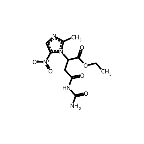 CCOC(=O)C(CC(=O)NC(N)=O)n1c([N+](=O)[O-])cnc1C